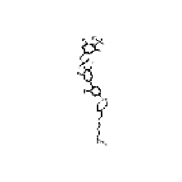 CCCCCCCC1CCC(c2ccc(-c3cc(F)c(C(F)(F)Oc4cc(F)c(C(F)(F)F)c(F)c4)c(F)c3)c(F)c2)OC1